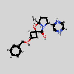 O=C1N2[C@@H](CC[C@H]2c2cnccn2)OC12CC(OCc1ccccc1)C2